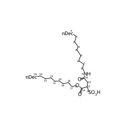 CCCCCCCCCCCCCCCCCCNC(=O)CC(C(=O)OCCCCCCCCCCCCCCCCCC)S(=O)(=O)O